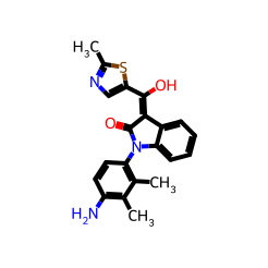 Cc1ncc(C(O)=C2C(=O)N(c3ccc(N)c(C)c3C)c3ccccc32)s1